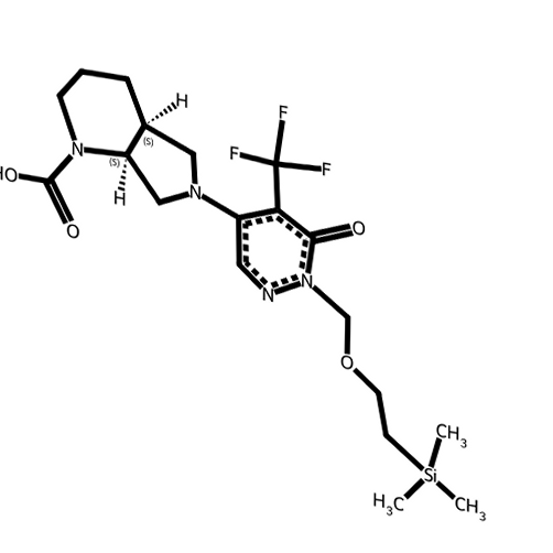 C[Si](C)(C)CCOCn1ncc(N2C[C@@H]3CCCN(C(=O)O)[C@@H]3C2)c(C(F)(F)F)c1=O